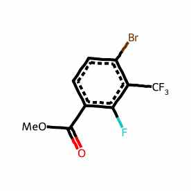 COC(=O)c1ccc(Br)c(C(F)(F)F)c1F